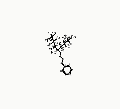 OC(CCCCc1ccccc1)(C(F)(F)C(F)(F)C(F)(F)F)C(F)(F)C(F)(F)C(F)(F)F